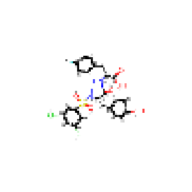 O=C(O)[C@H](Cc1ccc(F)cc1)NC(=O)[C@H](Cc1ccc(O)cc1)NS(=O)(=O)c1cc(Cl)cc(Cl)c1